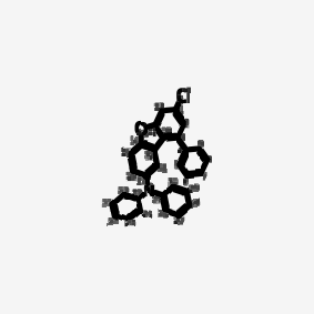 Clc1cc(-c2ccccc2)c2c(c1)oc1ccc(N(c3ccccc3)c3ccccc3)cc12